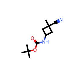 CC1(C#N)CC(NC(=O)OC(C)(C)C)C1